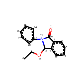 CCOC1c2ccccc2C(=O)N1c1ccccc1